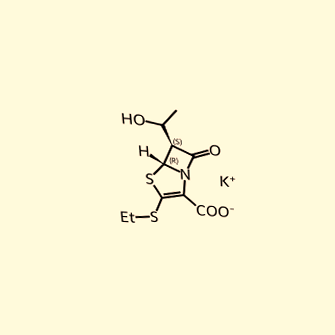 CCSC1=C(C(=O)[O-])N2C(=O)[C@H](C(C)O)[C@H]2S1.[K+]